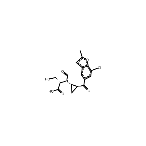 Cc1cc2cc(C(=O)[C@H]3C[C@@H]3N(C=O)[C@@H](CO)C(=O)O)cc(Cl)c2o1